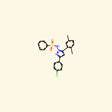 Cc1ccc(C)c(-c2cc(-c3ccc(Cl)cc3)nn2NS(=O)(=O)c2ccccc2)c1